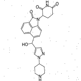 O=C1CCC(N2C(=O)c3cccc4c(C(O)c5cnn(C6CCNCC6)c5)ccc2c34)C(=O)N1